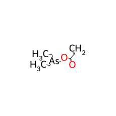 C=CC(=O)OC[As](CC)CC